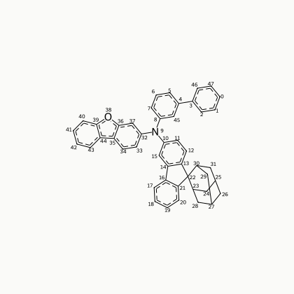 c1ccc(-c2cccc(N(c3ccc4c(c3)-c3ccccc3C43C4CC5CC(C4)CC3C5)c3ccc4c(c3)oc3ccccc34)c2)cc1